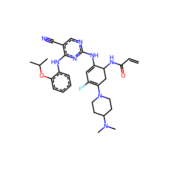 C=CC(=O)NC1CC(N2CCC(N(C)C)CC2)=C(F)C=C1Nc1ncc(C#N)c(Nc2ccccc2OC(C)C)n1